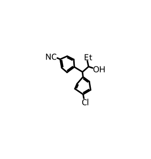 CCC(O)C(c1ccc(Cl)cc1)c1ccc(C#N)cc1